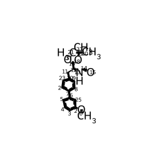 COc1cccc(-c2ccc(C[C@H](NC=O)C(=O)OC(C)(C)C)cc2)c1